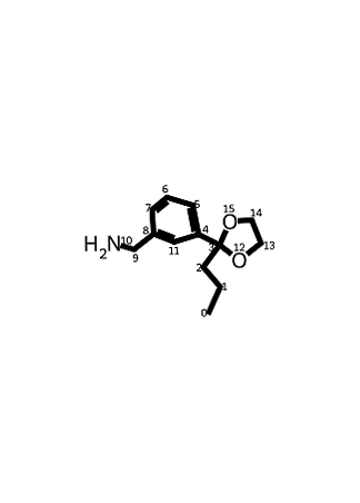 CCCC1(c2cccc(CN)c2)OCCO1